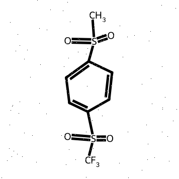 CS(=O)(=O)c1ccc(S(=O)(=O)C(F)(F)F)cc1